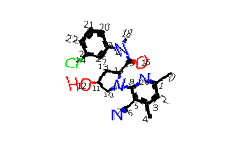 Cc1cc(C)c(C#N)c(N2C[C@@H](O)C[C@H]2C(=O)N(C)c2cccc(Cl)c2)n1